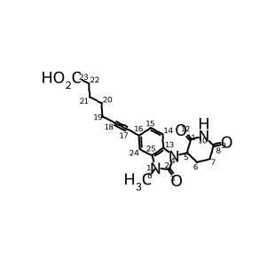 Cn1c(=O)n(C2CCC(=O)NC2=O)c2ccc(C#CCCCCC(=O)O)cc21